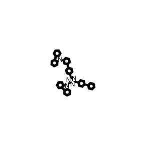 c1ccc(-c2ccc(-c3nc(-c4ccc(-c5cccc(-n6c7ccccc7c7ccccc76)c5)cc4)nc(-n4c5ccccc5c5ccccc54)n3)cc2)cc1